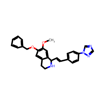 COc1cc2c(cc1OCc1ccccc1)CCNC2C=Cc1ccc(-n2cncn2)cc1